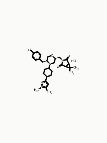 Cc1cc(C2CCC(N3C[C@H](CN4C(=O)C5C(C4=O)C5(C)C)OC[C@@H]3Cc3ccc(Cl)cc3)CC2)nn1C.Cl